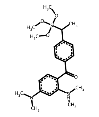 CO[Si](OC)(OC)C(C)c1ccc(C(=O)c2ccc(N(C)C)cc2[SiH](C)C)cc1